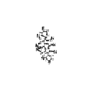 N#CC(C#N)=C1C(c2ccc(F)cc2)=C(C#N)c2c(C#N)c3c(c(C#N)c21)C(=C(C#N)C#N)C(c1ccc(F)cc1)=C3C#N